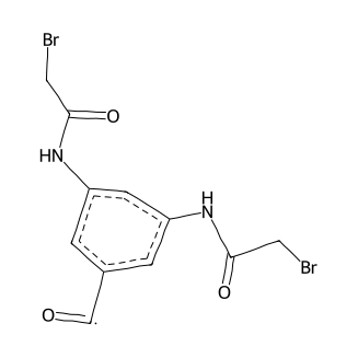 O=[C]c1cc(NC(=O)CBr)cc(NC(=O)CBr)c1